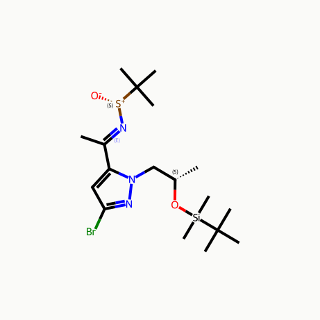 C/C(=N\[S@+]([O-])C(C)(C)C)c1cc(Br)nn1C[C@H](C)O[Si](C)(C)C(C)(C)C